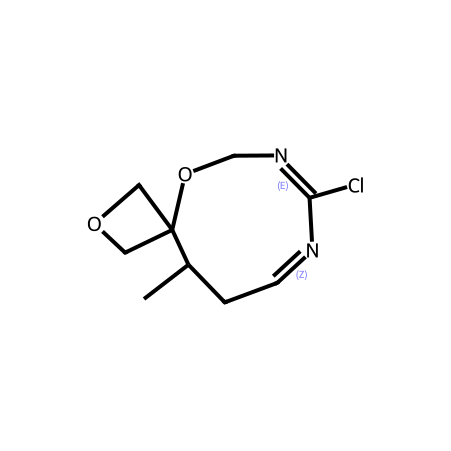 CC1C/C=N\C(Cl)=N/COC12COC2